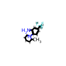 CC1CCCCN1c1ccc(C(F)(F)F)cc1N